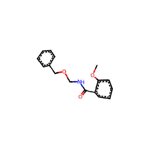 COc1ccccc1C(=O)NCOCc1ccccc1